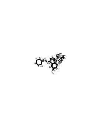 CC/C(=N\OC1CCCCC1)c1cc(Cl)ccc1NS(=O)(=O)C(F)(F)F